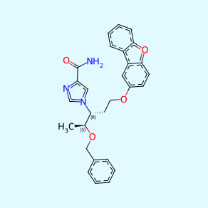 C[C@H](OCc1ccccc1)[C@@H](CCOc1ccc2oc3ccccc3c2c1)n1cnc(C(N)=O)c1